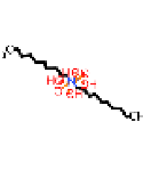 CCCCCCCCCC[N+](CCCCCCCCCC)(P(=O)(O)O)P(=O)(O)O